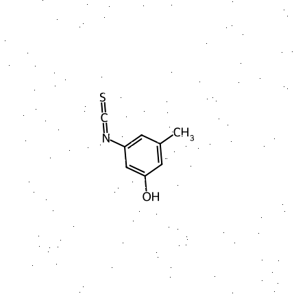 Cc1cc(O)cc(N=C=S)c1